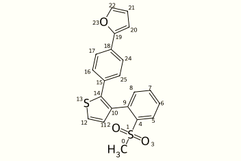 CS(=O)(=O)c1ccccc1-c1ccsc1-c1ccc(-c2ccco2)cc1